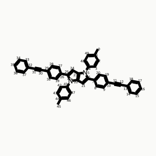 Cc1ccc(-n2c(-c3ccc(C#Cc4ccccc4)cc3)cc3c2cc(-c2ccc(C#Cc4ccccc4)cc2)n3-c2ccc(C)cc2)cc1